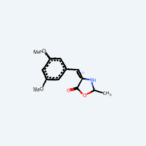 COc1cc(/C=C2/NC(C)OC2=O)cc(OC)c1